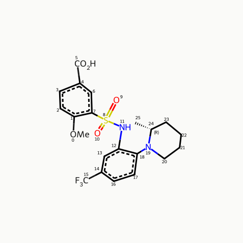 COc1ccc(C(=O)O)cc1S(=O)(=O)Nc1cc(C(F)(F)F)ccc1N1CCCC[C@H]1C